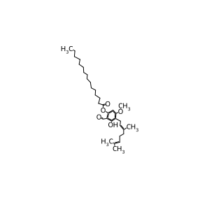 CCCCCCCCCCCCCCCC(=O)Oc1cc(OC)c(C/C=C(\C)CCC=C(C)C)c(O)c1C=O